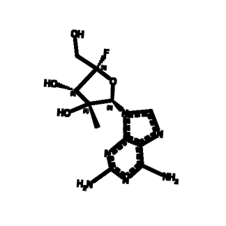 C[C@]1(O)[C@H](n2cnc3c(N)nc(N)nc32)O[C@](F)(CO)[C@H]1O